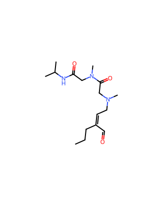 CCC/C(C=O)=C/CN(C)CC(=O)N(C)CC(=O)NC(C)C